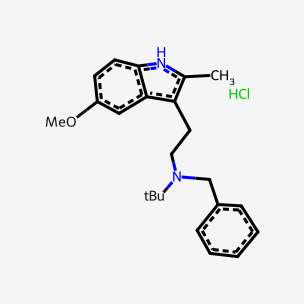 COc1ccc2[nH]c(C)c(CCN(Cc3ccccc3)C(C)(C)C)c2c1.Cl